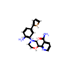 NC(=O)c1cccnc1C1CN(c2cc(-c3cccs3)ccc2N)CCO1